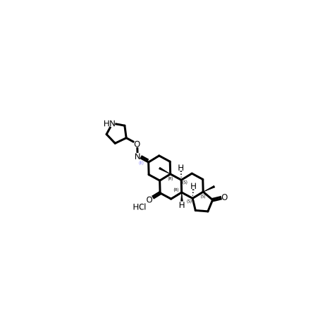 C[C@]12CC/C(=N\OC3CCNC3)CC1C(=O)C[C@@H]1[C@@H]2CC[C@]2(C)C(=O)CC[C@@H]12.Cl